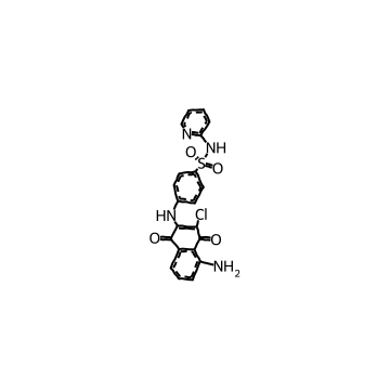 Nc1cccc2c1C(=O)C(Cl)=C(Nc1ccc(S(=O)(=O)Nc3ccccn3)cc1)C2=O